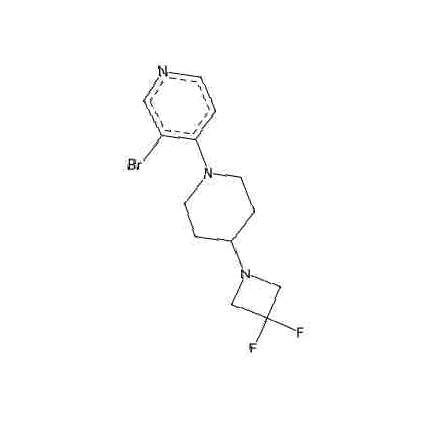 FC1(F)CN(C2CCN(c3ccncc3Br)CC2)C1